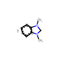 CN1CN(C)c2ccccc21.[Li]